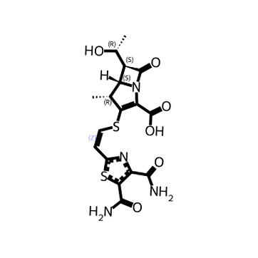 C[C@@H](O)[C@H]1C(=O)N2C(C(=O)O)=C(S/C=C\c3nc(C(N)=O)c(C(N)=O)s3)[C@H](C)[C@H]12